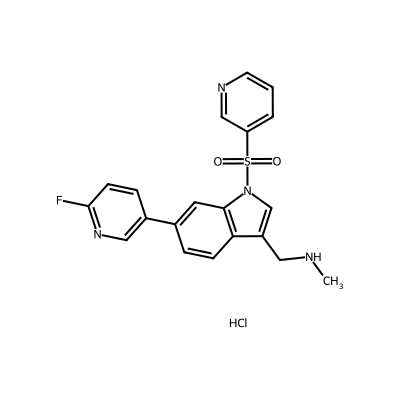 CNCc1cn(S(=O)(=O)c2cccnc2)c2cc(-c3ccc(F)nc3)ccc12.Cl